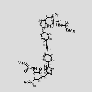 CCCN(Cc1ncc(-c2ccc(C#Cc3ccc(-c4cnc(CN(CCN(C)C(C)=O)C(=O)CNC(=O)OC)[nH]4)cc3)cc2)[nH]1)C(=O)CNC(=O)OC